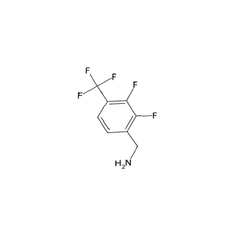 NCc1ccc(C(F)(F)F)c(F)c1F